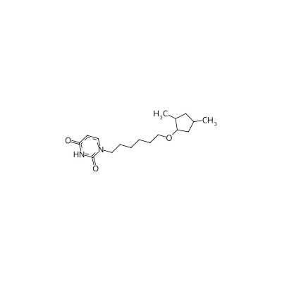 CC1CC(C)C(OCCCCCCn2ccc(=O)[nH]c2=O)C1